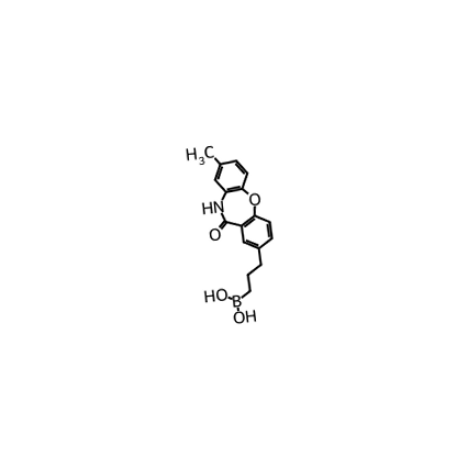 Cc1ccc2c(c1)NC(=O)c1cc(CCCB(O)O)ccc1O2